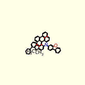 CC1(C)c2ccc(N(c3ccc4c(c3)oc3ccccc34)c3ccccc3-c3cccc4cccc(-c5ccccc5)c34)cc2-c2cccc(C3CCCCC3)c21